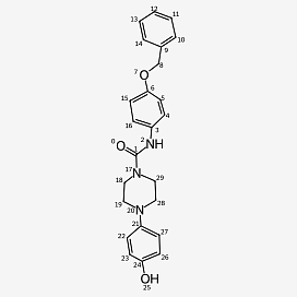 O=C(Nc1ccc(OCc2ccccc2)cc1)N1CCN(c2ccc(O)cc2)CC1